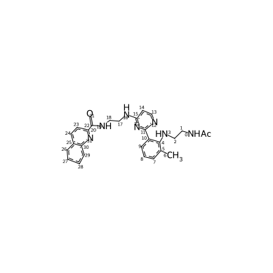 CC(=O)NCCNc1c(C)cccc1-c1nccc(NCCNC(=O)c2ccc3ccccc3n2)n1